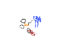 Br.[Br-].c1ccc([P+](CCCCc2nnn[nH]2)(c2ccccc2)c2ccccc2)cc1